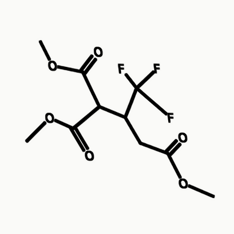 COC(=O)CC(C(C(=O)OC)C(=O)OC)C(F)(F)F